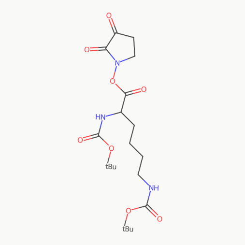 CC(C)(C)OC(=O)NCCCCC(NC(=O)OC(C)(C)C)C(=O)ON1CCC(=O)C1=O